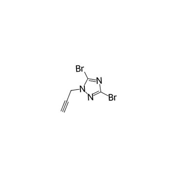 C#CCn1nc(Br)nc1Br